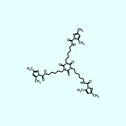 Cc1cc(C)n(C(=O)NCCCCCn2c(=O)n(CCCCCNC(=O)n3nc(C)cc3C)c(=O)n(CCCCCNC(=O)n3nc(C)cc3C)c2=O)n1